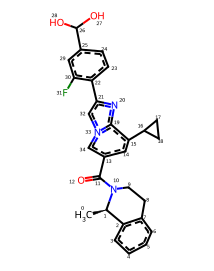 C[C@@H]1c2ccccc2CCN1C(=O)c1cc(C2CC2)c2nc(-c3ccc(C(O)O)cc3F)cn2c1